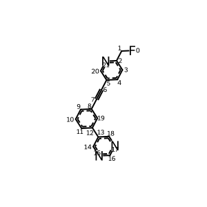 FCc1ccc(C#Cc2cccc(-c3cncnc3)c2)cn1